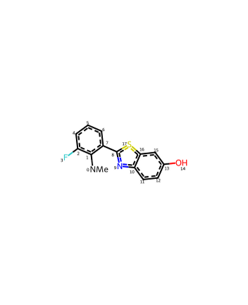 CNc1c(F)cccc1-c1nc2ccc(O)cc2s1